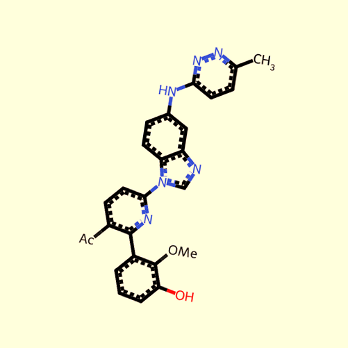 COc1c(O)cccc1-c1nc(-n2cnc3cc(Nc4ccc(C)nn4)ccc32)ccc1C(C)=O